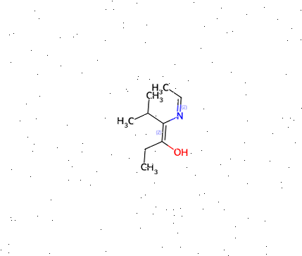 C/C=N\C(=C(/O)CC)C(C)C